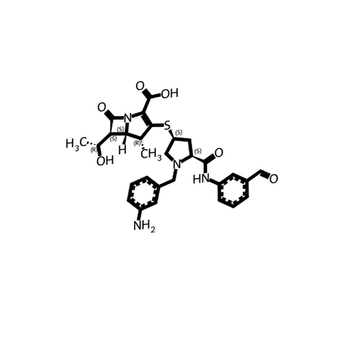 C[C@@H](O)[C@H]1C(=O)N2C(C(=O)O)=C(S[C@H]3C[C@@H](C(=O)Nc4cccc(C=O)c4)N(Cc4cccc(N)c4)C3)[C@H](C)[C@H]12